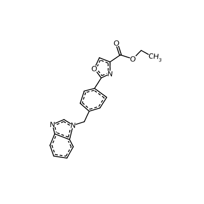 CCOC(=O)c1coc(-c2ccc(Cn3cnc4ccccc43)cc2)n1